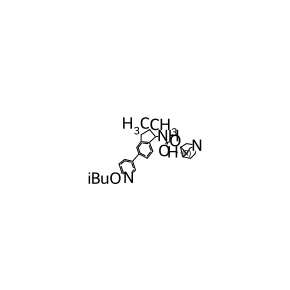 CC(C)COc1ccc(-c2ccc3c(c2)CC(C)(C)C3NC(=O)O[C@H]2CN3CCC2CC3)cn1